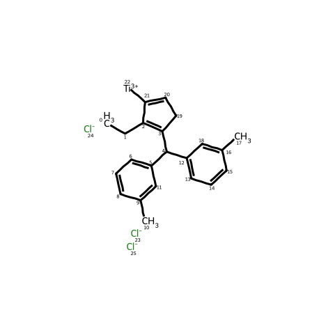 CCC1=C(C(c2cccc(C)c2)c2cccc(C)c2)CC=[C]1[Ti+3].[Cl-].[Cl-].[Cl-]